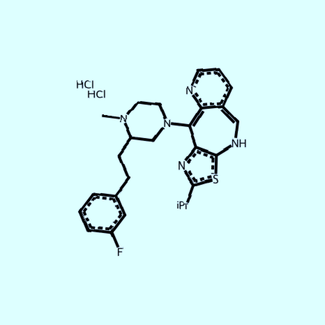 CC(C)c1nc2c(s1)NC=c1cccnc1=C2N1CCN(C)C(CCc2cccc(F)c2)C1.Cl.Cl